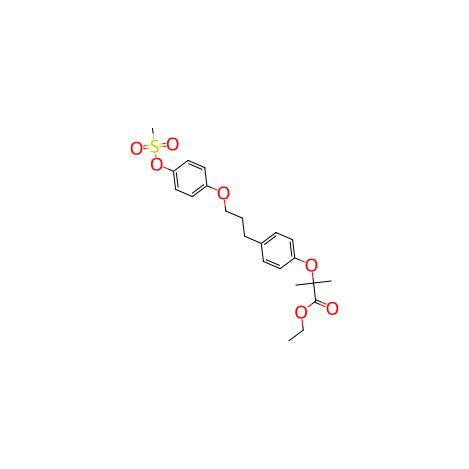 CCOC(=O)C(C)(C)Oc1ccc(CCCOc2ccc(OS(C)(=O)=O)cc2)cc1